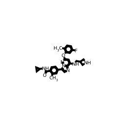 Cc1ccc(F)cc1Oc1cc(NCC2CNC2)c2ncc(-c3ccc(C(=O)NC4CC4)c(C)c3)n2n1